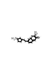 CC1CCC(CCc2ccc3cc(Br)c(N)nc3c2)C1